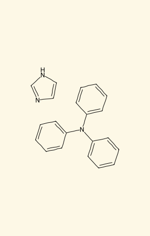 c1c[nH]cn1.c1ccc(N(c2ccccc2)c2ccccc2)cc1